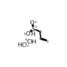 C=CC[SH](=O)=O.Cl.Cl